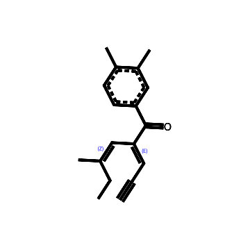 C#C/C=C(\C=C(\C)CC)C(=O)c1ccc(C)c(C)c1